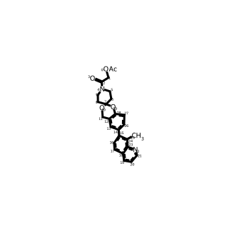 CC(=O)OCC(=O)N1CCC2(CC1)OCc1cc(-c3ccc4cccnc4c3C)ccc1O2